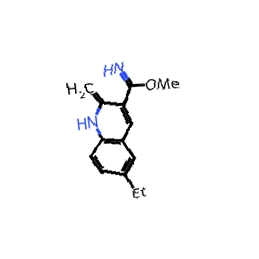 C=C1Nc2ccc(CC)cc2C=C1C(=N)OC